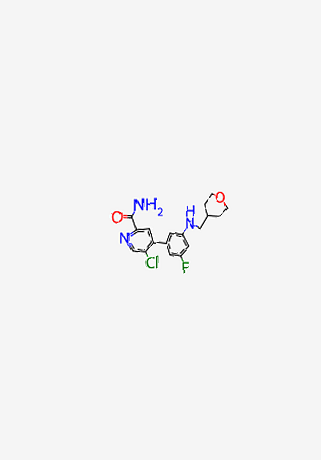 NC(=O)c1cc(-c2cc(F)cc(NCC3CCOCC3)c2)c(Cl)cn1